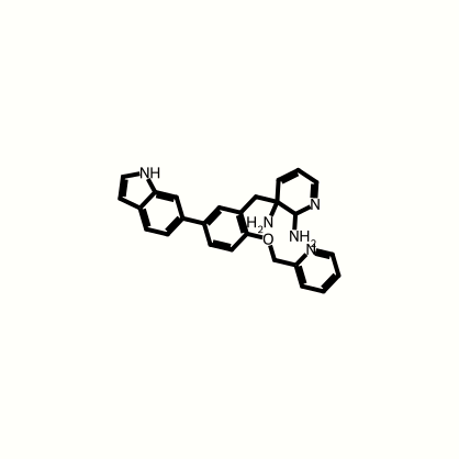 NC1N=CC=CC1(N)Cc1cc(-c2ccc3cc[nH]c3c2)ccc1OCc1ccccn1